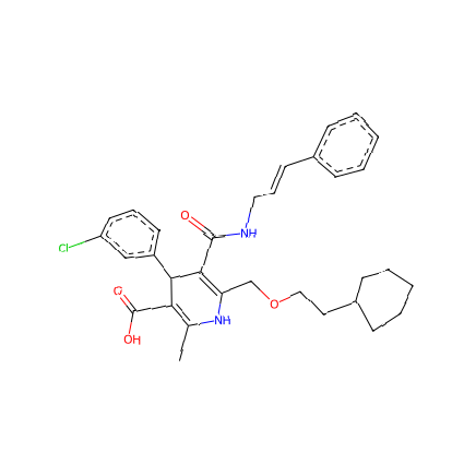 CC1=C(C(=O)O)C(c2cccc(Cl)c2)C(C(=O)NCC=Cc2ccccc2)=C(COCCC2CCCCC2)N1